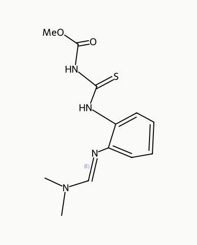 COC(=O)NC(=S)Nc1ccccc1/N=C/N(C)C